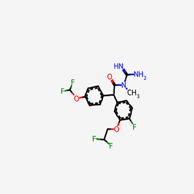 CN(C(=N)N)C(=O)C(c1ccc(OC(F)F)cc1)c1ccc(F)c(OCC(F)F)c1